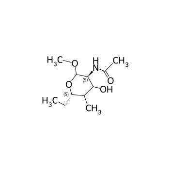 CC[C@@H]1OC(OC)[C@@H](NC(C)=O)C(O)C1C